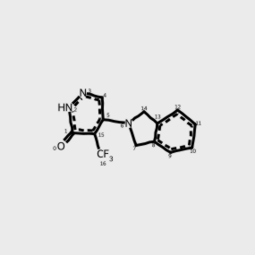 O=c1[nH]ncc(N2Cc3ccccc3C2)c1C(F)(F)F